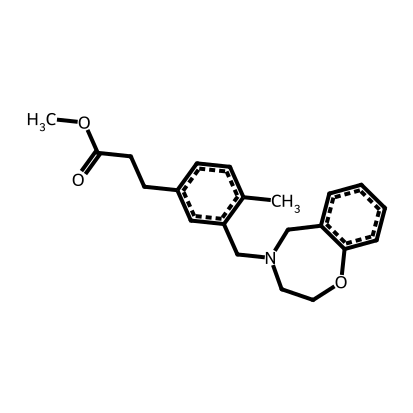 COC(=O)CCc1ccc(C)c(CN2CCOc3ccccc3C2)c1